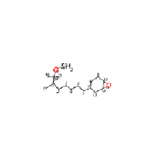 CC(CCCCCC1CCC2OC2C1)C(C)(C)O[SiH3]